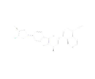 C[C@@H]1CN(c2ccc(C#N)c3ncccc23)C[C@@H]2c3ccc(N4C[C@@H](F)[C@@H](N)C4)cc3CN12